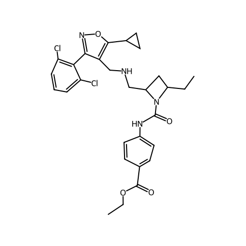 CCOC(=O)c1ccc(NC(=O)N2C(CC)CC2CNCc2c(-c3c(Cl)cccc3Cl)noc2C2CC2)cc1